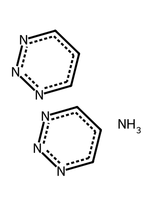 N.c1cnnnc1.c1cnnnc1